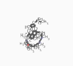 CO[C@H]1/C=C/O[C@@]2(C)Oc3c(C)c(O)c4c(=O)c(c5oc6cc(OCCN(C)C(C)=O)cc(O)c6nc-5c4c3C2=O)NC(=O)/C(C)=C\C=C\[C@H](C)[C@@H]2O[C@H]([C@H](O)[C@@H]2C)[C@H](OC(C)=O)[C@@H]1C